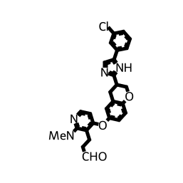 CNc1nccc(Oc2ccc3c(c2)CC(c2ncc(-c4cccc(Cl)c4)[nH]2)CO3)c1CCC=O